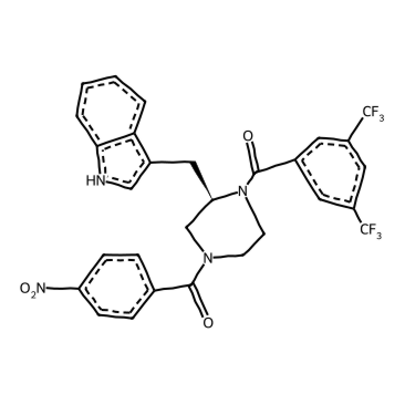 O=C(c1ccc([N+](=O)[O-])cc1)N1CCN(C(=O)c2cc(C(F)(F)F)cc(C(F)(F)F)c2)[C@H](Cc2c[nH]c3ccccc23)C1